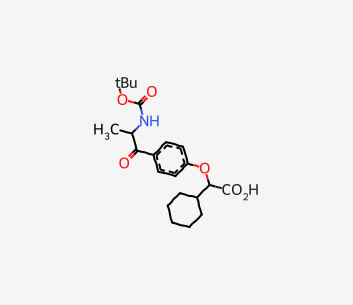 CC(NC(=O)OC(C)(C)C)C(=O)c1ccc(OC(C(=O)O)C2CCCCC2)cc1